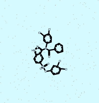 O=C(c1ccccc1)N(c1ccc(Cl)c(Cl)c1)c1n[nH]c2ccc(S(=O)(=O)Oc3ccc(Cl)c(Cl)c3)cc12